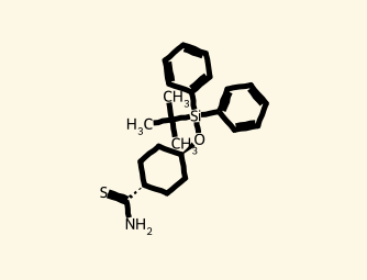 CC(C)(C)[Si](O[C@H]1CC[C@H](C(N)=S)CC1)(c1ccccc1)c1ccccc1